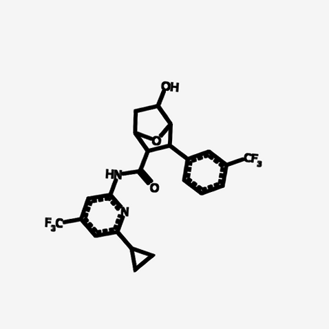 O=C(Nc1cc(C(F)(F)F)cc(C2CC2)n1)C1C2CC(O)C(O2)C1c1cccc(C(F)(F)F)c1